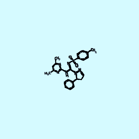 Cc1ccc(S(=O)(=O)/N=C(/Nc2nc(C)cc(C)n2)N2N=CCC2c2ccccc2)cc1